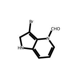 O=CN1C=CC=C2NCC(Br)=C21